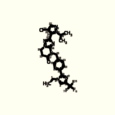 CCn1cc(C(F)(F)F)nc1-c1ccc(CN2C(=O)CCn3nc(-c4c(Cl)cnn4C(C)C)nc32)cn1